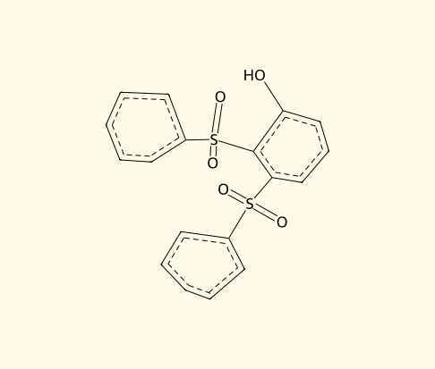 O=S(=O)(c1ccccc1)c1cccc(O)c1S(=O)(=O)c1ccccc1